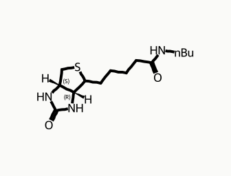 CCCCNC(=O)CCCCC1SC[C@H]2NC(=O)N[C@@H]12